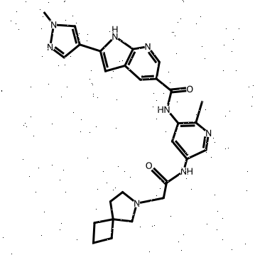 Cc1ncc(NC(=O)CN2CCC3(CCC3)C2)cc1NC(=O)c1cnc2[nH]c(-c3cnn(C)c3)cc2c1